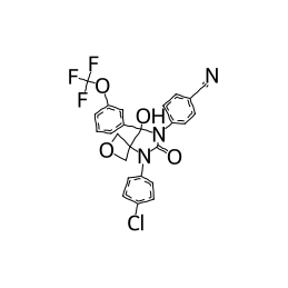 N#Cc1ccc(N2C(=O)N(c3ccc(Cl)cc3)C3(COC3)C2(O)c2cccc(OC(F)(F)F)c2)cc1